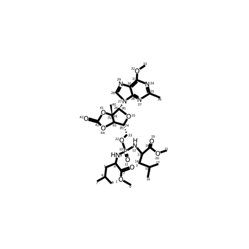 COC(=O)C(CC(C)C)NP(=O)(NC(CC(C)C)C(=O)OC)OC[C@H]1O[C@@H](n2cnc3c(OC)nc(C)nc32)[C@@]2(C)OC(=O)OC12